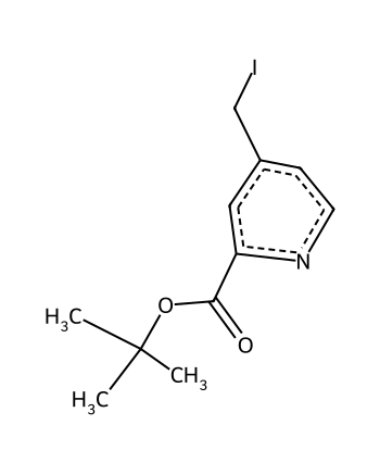 CC(C)(C)OC(=O)c1cc(CI)ccn1